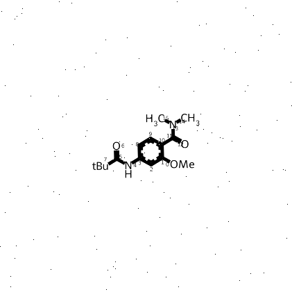 COc1cc(NC(=O)C(C)(C)C)ccc1C(=O)N(C)C